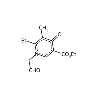 CCOC(=O)c1cn(CC=O)c(CC)c(C)c1=O